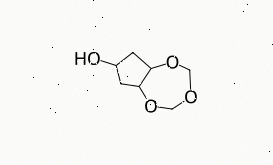 OC1CC2OCOCOC2C1